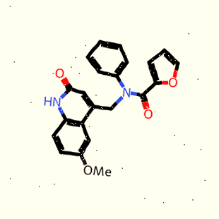 COc1ccc2[nH]c(=O)cc(CN(C(=O)c3ccco3)c3ccccc3)c2c1